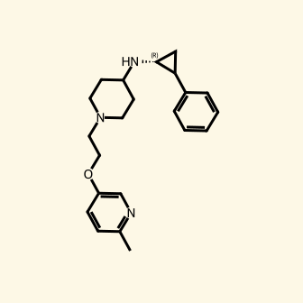 Cc1ccc(OCCN2CCC(N[C@@H]3CC3c3ccccc3)CC2)cn1